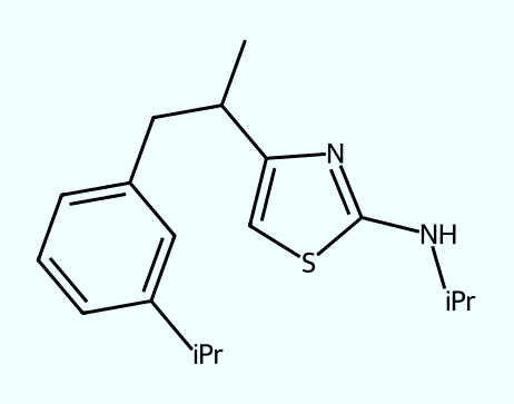 CC(C)Nc1nc(C(C)Cc2cccc(C(C)C)c2)cs1